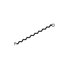 O=CCCCCCCCCCCCCCCCCCF